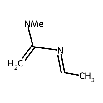 C=C(/N=C/C)NC